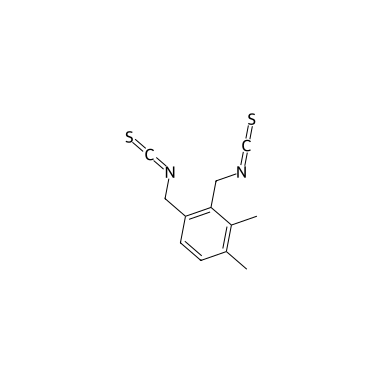 Cc1ccc(CN=C=S)c(CN=C=S)c1C